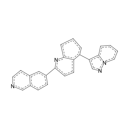 c1cc(-c2cnn3ccccc23)c2ccc(-c3ccc4cnccc4c3)nc2c1